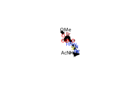 COCCOc1c(Br)cc(C(=O)Nc2nnc(-n3nccc3NC(C)=O)s2)oc1=O